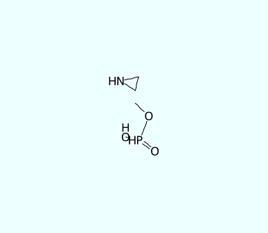 C1CN1.CO[PH](=O)O